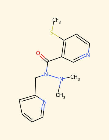 CN(C)N(Cc1ccccn1)C(=O)c1cnccc1SC(F)(F)F